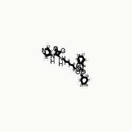 O=c1c(NCCCCCCS(=O)(=O)N(Cc2ccccc2)OCC2CCCCC2)c(Nc2ccncc2)c1=O